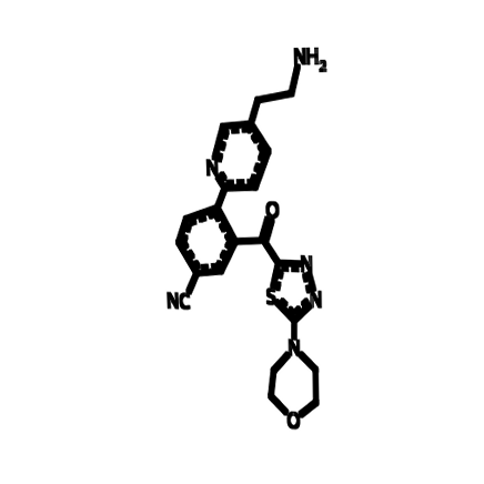 N#Cc1ccc(-c2ccc(CCN)cn2)c(C(=O)c2nnc(N3CCOCC3)s2)c1